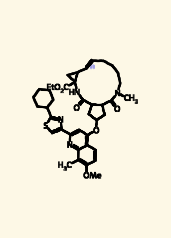 CCOC(=O)C12CC1/C=C/CCCCN(C)C(=O)C1CC(Oc3cc(-c4csc(C5CCCCC5)n4)nc4c(C)c(OC)ccc34)CC1C(=O)N2